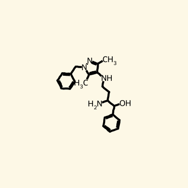 Cc1nn(Cc2ccccc2)c(C)c1NCCC(N)C(O)c1ccccc1